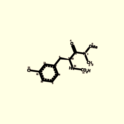 CON(C)C(=O)[C@H](Cc1cccc(Cl)c1)NC(=O)O